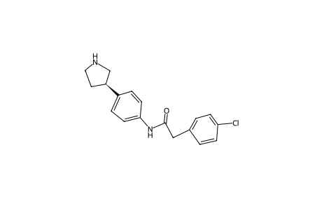 O=C(Cc1ccc(Cl)cc1)Nc1ccc([C@H]2CCNC2)cc1